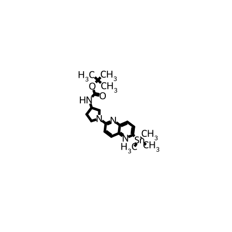 CC(C)(C)OC(=O)NC1CCN(c2ccc3n[c]([Sn]([CH3])([CH3])[CH3])ccc3n2)C1